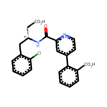 O=C(O)C[C@@H](Cc1ccccc1Cl)NC(=O)c1cc(-c2ccccc2C(=O)O)ccn1